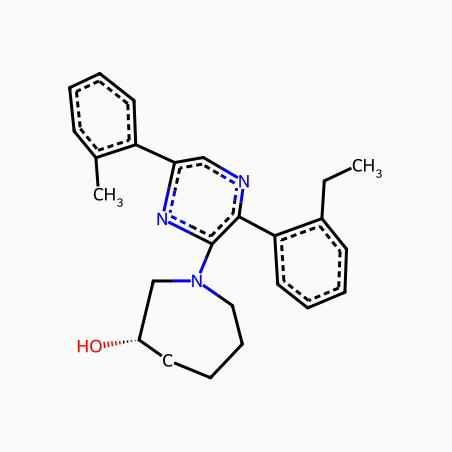 CCc1ccccc1-c1ncc(-c2ccccc2C)nc1N1CCCC[C@H](O)C1